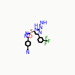 N#Cc1ccc(-c2nnc(Sc3cc(-c4cccc(C(F)(F)F)c4)n/c(=N/C=N)[nH]3)o2)cc1